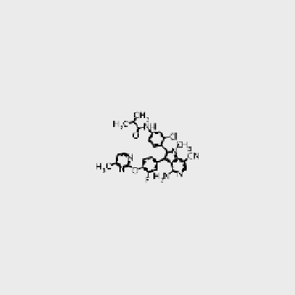 C=C(C)C(=O)Nc1ccc(-c2c(-c3ccc(Oc4nccc(C)n4)c(F)c3)c3c(N)ncc(C#N)c3n2C)c(Cl)c1